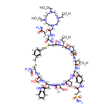 CC(C)CC1NC(=O)[C@H](Cc2ccc(NC(=O)CCS(N)(=O)=O)cc2)NC(=O)[C@H](CC(=O)O)NC(=O)[C@H]2CCCN2C(=O)[C@H](CCC(=O)O)NC(=O)[C@@H](NC(=O)[C@H](CCC(N)=O)NC(=O)CN2CCN(CC(=O)O)CCN(CC(=O)O)CCN(CC(=O)O)CC2)CSCc2cccc(c2)CSC[C@@H](C(N)=O)NC(=O)[C@H](CO)NC(=O)[C@H](Cc2c[nH]c3ccccc23)NC(=O)[C@H]([C@@H](C)O)NC1=O